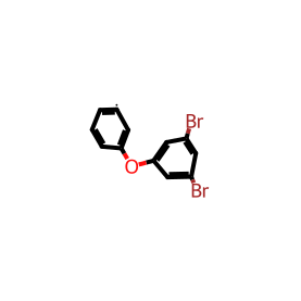 Brc1cc(Br)cc(Oc2c[c]ccc2)c1